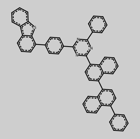 c1ccc(-c2nc(-c3ccc(-c4cccc5c4sc4ccccc45)cc3)nc(-c3ccc(-c4ccc(-c5ccccc5)c5ccccc45)c4ccccc34)n2)cc1